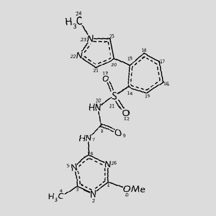 COc1nc(C)nc(NC(=O)NS(=O)(=O)c2ccccc2-c2cnn(C)c2)n1